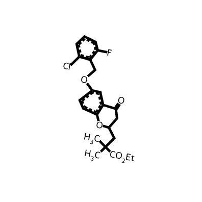 CCOC(=O)C(C)(C)CC1CC(=O)c2cc(OCc3c(F)cccc3Cl)ccc2O1